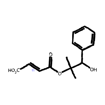 CC(C)(OC(=O)/C=C/C(=O)O)C(O)c1ccccc1